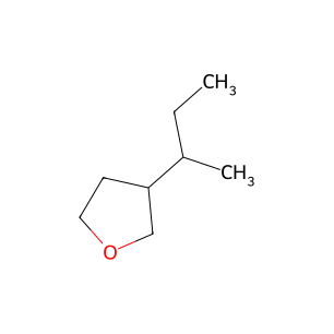 CCC(C)C1CCOC1